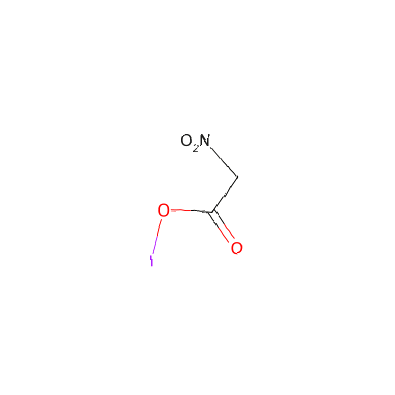 O=C(C[N+](=O)[O-])OI